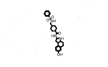 O=C(NC1CC2c3ccc(O)cc3CCC2N1)C1CCC(CNS(=O)(=O)c2ccccc2)CC1